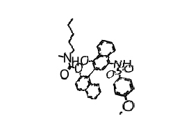 CCCCCN(C)C(=O)Oc1ccc2ccccc2c1-c1cc(NS(=O)(=O)c2ccc(OC)cc2)c2ccccc2c1O